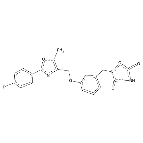 Cc1oc(-c2ccc(F)cc2)nc1COc1cccc(Cn2oc(=O)[nH]c2=O)c1